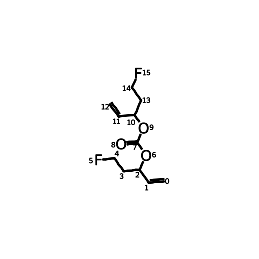 C=CC(CCF)OC(=O)OC(C=C)CCF